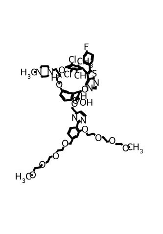 COCCOCCOCCOCc1ccc(-c2nccc(COc3ccc4cc3[C@H](C(=O)O)Oc3ncnc5sc(-c6ccc(F)cc6)c(c35)-c3c(C)c(Cl)c(c(Cl)c3C)O[C@H](CN3CCN(C)CC3)CO4)n2)c(OCCOCCOCCOC)c1